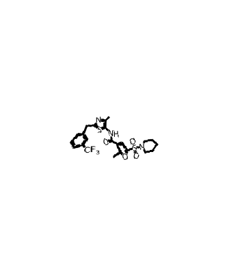 Cc1nc(Cc2cccc(C(F)(F)F)c2)sc1NC(=O)c1cc(S(=O)(=O)N2CCCCC2)oc1C